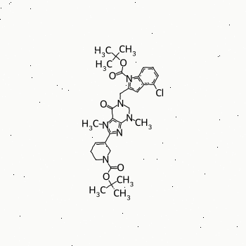 CN1CN(Cc2cc3c(Cl)cccc3n2C(=O)OC(C)(C)C)C(=O)c2c1nc(C1=CCCN(C(=O)OC(C)(C)C)C1)n2C